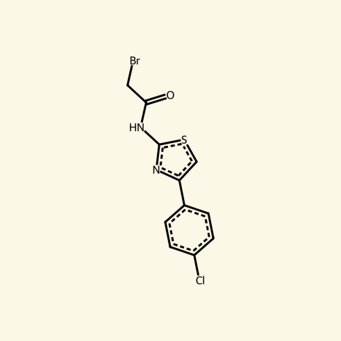 O=C(CBr)Nc1nc(-c2ccc(Cl)cc2)cs1